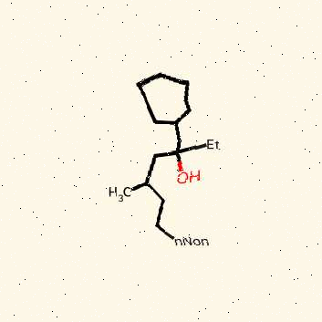 CCCCCCCCCCCC(C)CC(O)(CC)C1CCCCC1